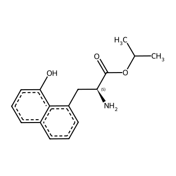 CC(C)OC(=O)[C@@H](N)Cc1cccc2cccc(O)c12